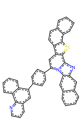 c1ccc2cc3c(cc2c1)nc1c2sc4c5ccccc5ccc4c2cc(-c2ccc(-c4cc5cccnc5c5ccccc45)cc2)n31